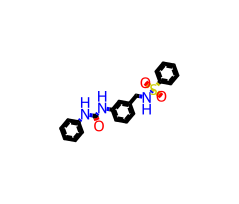 O=C(Nc1ccccc1)Nc1cccc(CNS(=O)(=O)c2ccccc2)c1